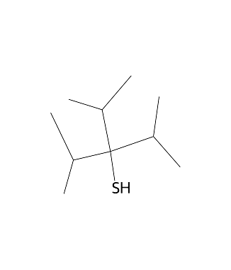 CC(C)C(S)(C(C)C)C(C)C